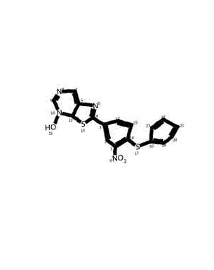 O=[N+]([O-])c1cc(C2=NC3=CN=CN(O)C3S2)ccc1Sc1ccccc1